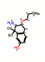 CCC1(CC)c2cc(O)ccc2C[C@H](OCCOC)[C@H]1N